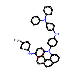 Cc1ccc(Nc2ccc(N(c3ccc(Nc4ccc(N(c5ccccc5)c5ccccc5)cc4)cc3)c3cccc4ccc5ccccc5c34)cc2)cc1